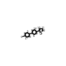 Cc1ccc(-c2ccc(-c3cccs3)cc2)cc1